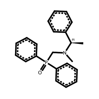 C[C@H](c1ccccc1)N(C)CP(=O)(c1ccccc1)c1ccccc1